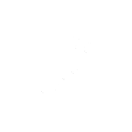 Cc1ccc(F)c2c(=O)[nH]c(CCC(=O)N3CCN(c4ccc(C#N)c(F)c4)CC3)cc12